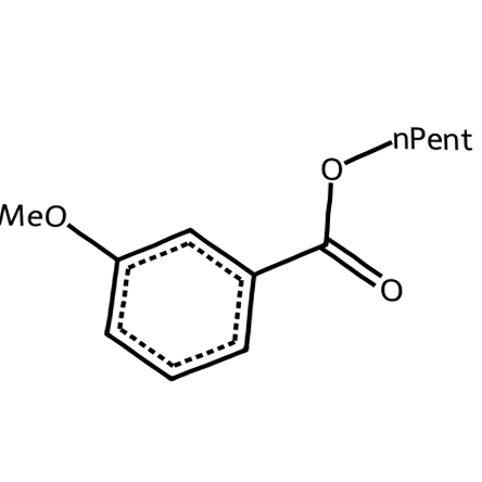 CCCCCOC(=O)c1cccc(OC)c1